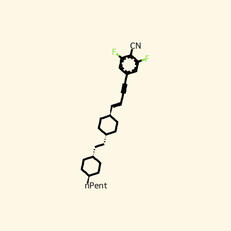 CCCCC[C@H]1CC[C@H](CC[C@H]2CC[C@H](C=CC#Cc3cc(F)c(C#N)c(F)c3)CC2)CC1